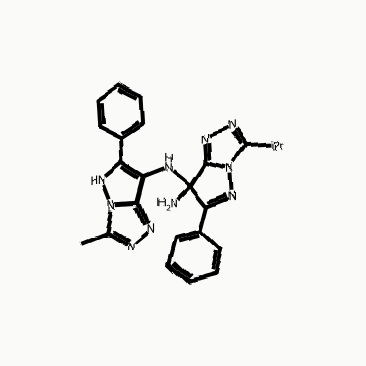 Cc1nnc2c(NC3(N)C(c4ccccc4)=Nn4c(C(C)C)nnc43)c(-c3ccccc3)[nH]n12